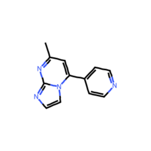 Cc1cc(-c2ccncc2)n2ccnc2n1